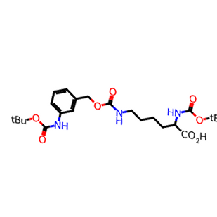 CC(C)(C)OC(=O)Nc1cccc(COC(=O)NCCCCC(NC(=O)OC(C)(C)C)C(=O)O)c1